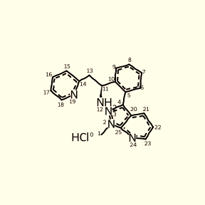 Cl.Cn1nc(-c2ccccc2[C@@H](N)Cc2ccccn2)c2cccnc21